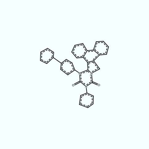 O=c1n(-c2ccccc2)c(=O)n2cc3c4ccccc4c4ccccc4c3c2n1-c1ccc(-c2ccccc2)cc1